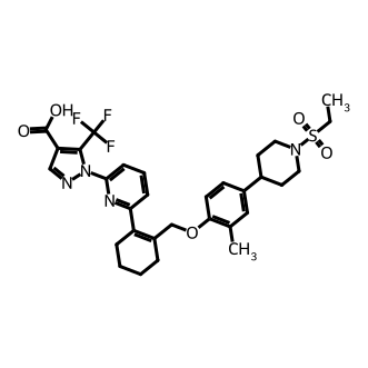 CCS(=O)(=O)N1CCC(c2ccc(OCC3=C(c4cccc(-n5ncc(C(=O)O)c5C(F)(F)F)n4)CCCC3)c(C)c2)CC1